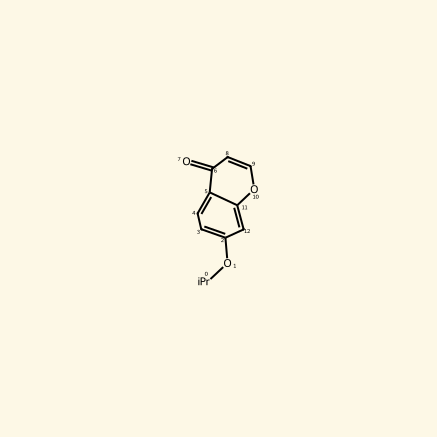 CC(C)Oc1ccc2c(=O)ccoc2c1